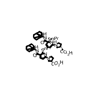 CCCSC1(C(=O)NC2C3CC4CC(C3)CC2C4)C=CC=C(N2CC[C@H](CC(=O)O)C2)N1.CCCSc1nc(N2CC[C@@H](C(=O)O)C2)ccc1C(=O)NC1C2CC3CC(C2)CC1C3